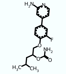 CC(C)CC(COc1ccc(-c2ccnc(N)c2)cc1F)OC(N)=O